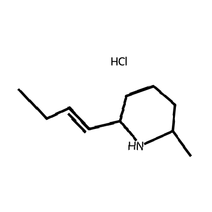 CC/C=C/C1CCCC(C)N1.Cl